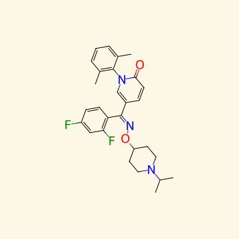 Cc1cccc(C)c1-n1cc(C(=NOC2CCN(C(C)C)CC2)c2ccc(F)cc2F)ccc1=O